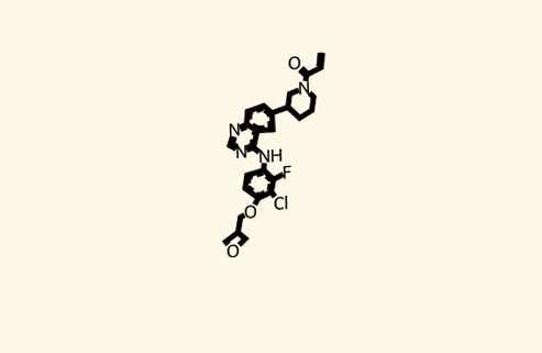 C=CC(=O)N1CCCC(c2ccc3ncnc(Nc4ccc(OCC5COC5)c(Cl)c4F)c3c2)C1